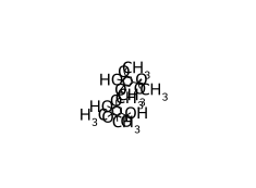 COC(=O)c1cc(OC)c(O)c(OC)c1.COc1cc(C(=O)O)c(C)c(OC)c1O